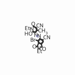 CCN1C(=O)c2cc(C#N)c(/N=N/c3c(C)c(C#N)c(=O)n(CC)c3O)c(Br)c2C1=O